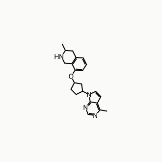 Cc1ncnc2c1ccn2C1CCC(Oc2cccc3c2CNC(C)C3)C1